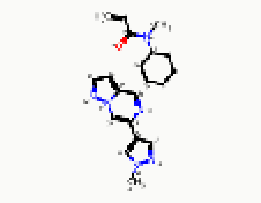 C=CC(=O)N(C)[C@H]1CCC[C@H](c2nc(-c3cnn(C)c3)cn3nccc23)C1